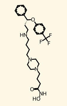 O=C(CCCN1CCN(CCCCNCC[C@@H](Oc2ccc(C(F)(F)F)cc2)c2ccccc2)CC1)NO